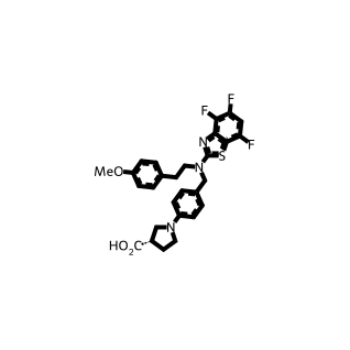 COc1ccc(CCN(Cc2ccc(N3CC[C@H](C(=O)O)C3)cc2)c2nc3c(F)c(F)cc(F)c3s2)cc1